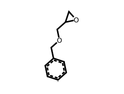 [c]1ccc(COCC2CO2)cc1